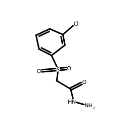 NNC(=O)CS(=O)(=O)c1cccc(Cl)c1